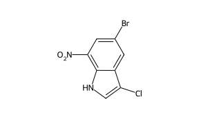 O=[N+]([O-])c1cc(Br)cc2c(Cl)c[nH]c12